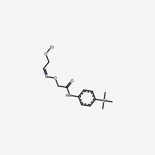 CCOC/C=N\OCC(=O)Nc1ccc([N+](C)(C)C)cc1